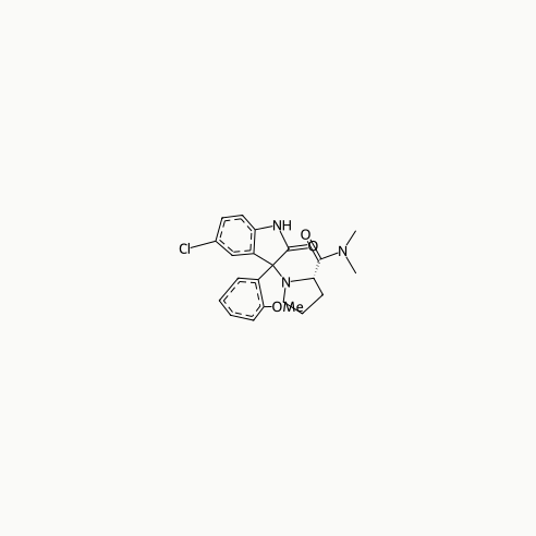 COc1ccccc1C1(N2CCC[C@H]2C(=O)N(C)C)C(=O)Nc2ccc(Cl)cc21